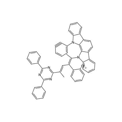 C/C(=C(\C=C(/C)c1nc(-c2ccccc2)nc(-c2ccccc2)n1)c1ccccc1C(F)(F)F)n1c2ccccc2c2ccc3c4ccccc4n(-c4c#cccc4)c3c21